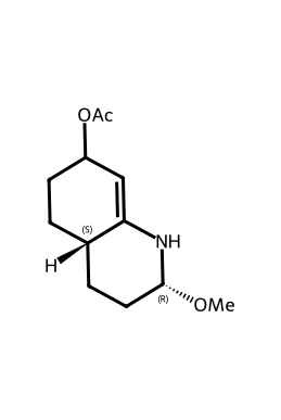 CO[C@@H]1CC[C@@H]2CCC(OC(C)=O)C=C2N1